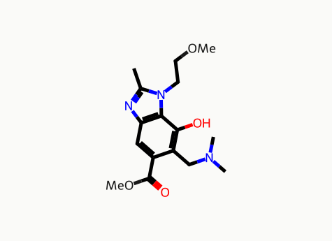 COCCn1c(C)nc2cc(C(=O)OC)c(CN(C)C)c(O)c21